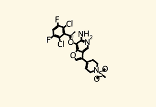 C[C@@H](Oc1c(N)ncc2c(C3=CCN(S(C)(=O)=O)CC3)coc12)c1c(Cl)c(F)cc(F)c1Cl